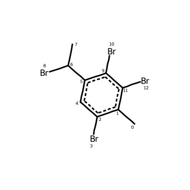 Cc1c(Br)cc(C(C)Br)c(Br)c1Br